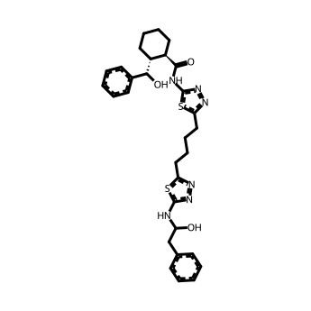 O=C(Nc1nnc(CCCCc2nnc(NC(O)Cc3ccccc3)s2)s1)[C@@H]1CCCC[C@H]1C(O)c1ccccc1